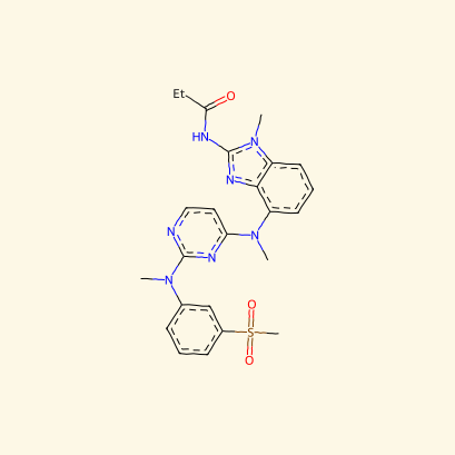 CCC(=O)Nc1nc2c(N(C)c3ccnc(N(C)c4cccc(S(C)(=O)=O)c4)n3)cccc2n1C